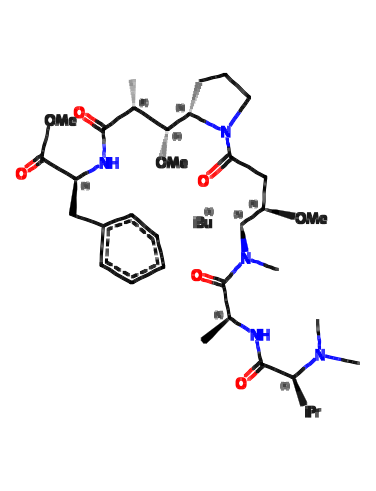 CC[C@H](C)[C@@H]([C@@H](CC(=O)N1CCC[C@H]1[C@H](OC)[C@@H](C)C(=O)N[C@@H](Cc1ccccc1)C(=O)OC)OC)N(C)C(=O)[C@H](C)NC(=O)[C@H](C(C)C)N(C)C